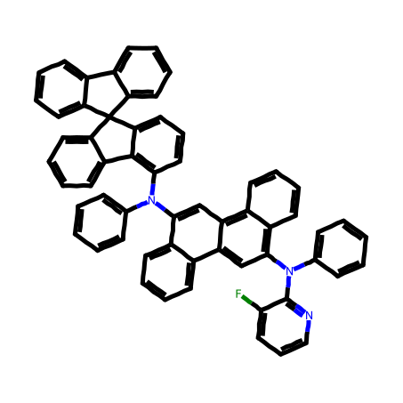 Fc1cccnc1N(c1ccccc1)c1cc2c3ccccc3c(N(c3ccccc3)c3cccc4c3-c3ccccc3C43c4ccccc4-c4ccccc43)cc2c2ccccc12